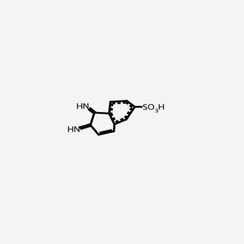 N=C1C=Cc2cc(S(=O)(=O)O)ccc2C1=N